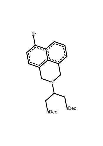 CCCCCCCCCCCC(CCCCCCCCCCC)N1Cc2cccc3c(Br)ccc(c23)C1